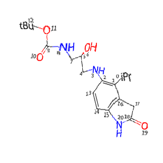 CC(C)c1c(NC[C@H](O)CNC(=O)OC(C)(C)C)ccc2c1CC(=O)N2